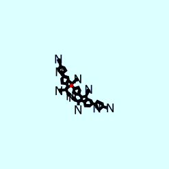 N#CC(C#N)=C1C(c2ccc(C3C(=C(C#N)C#N)c4ccc(C5=NCC(C#N)C=C5)cc4C3C#N)cc2)=C(C#N)c2cc(-c3ccc(C#N)cn3)ccc21